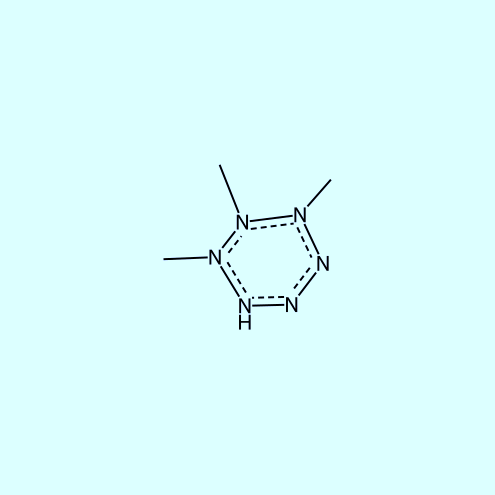 Cn1nn[nH]n(C)n1C